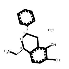 Cl.NC[C@@H]1O[C@H](c2ccccc2)Cc2c1ccc(O)c2O